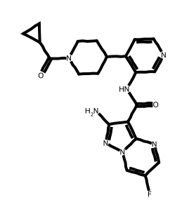 Nc1nn2cc(F)cnc2c1C(=O)Nc1cnccc1C1CCN(C(=O)C2CC2)CC1